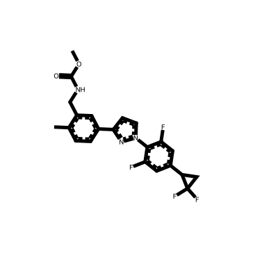 COC(=O)NCc1cc(-c2ccn(-c3c(F)cc(C4CC4(F)F)cc3F)n2)ccc1C